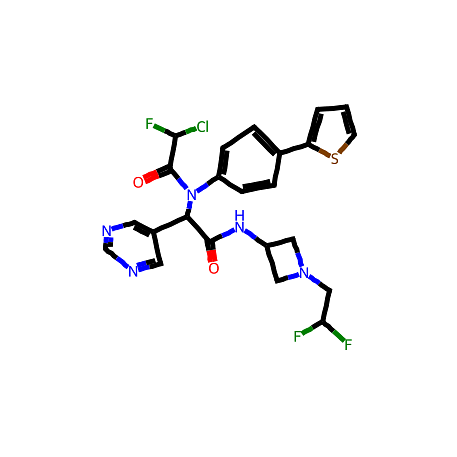 O=C(NC1CN(CC(F)F)C1)C(c1cncnc1)N(C(=O)C(F)Cl)c1ccc(-c2cccs2)cc1